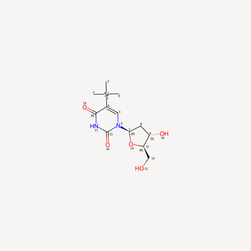 C[Si](C)(C)c1cn([C@H]2C[C@H](O)[C@@H](CO)O2)c(=O)[nH]c1=O